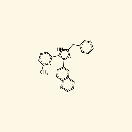 Cc1cccc(-c2[nH]c(Cc3cccnc3)nc2-c2ccc3ncccc3c2)n1